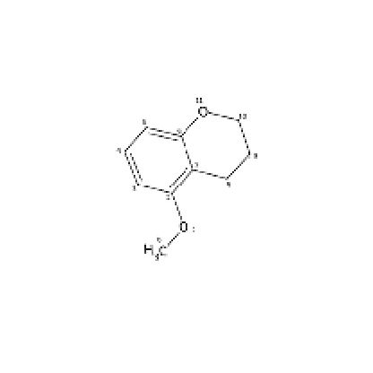 COc1cccc2c1C[CH]CO2